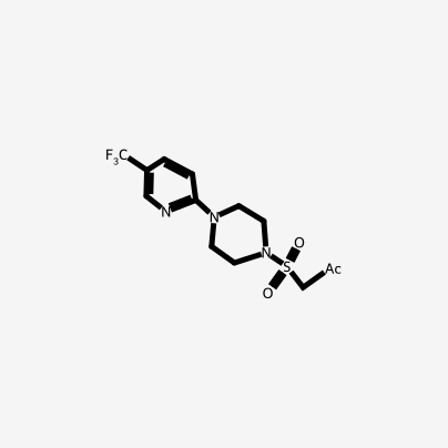 CC(=O)CS(=O)(=O)N1CCN(c2ccc(C(F)(F)F)cn2)CC1